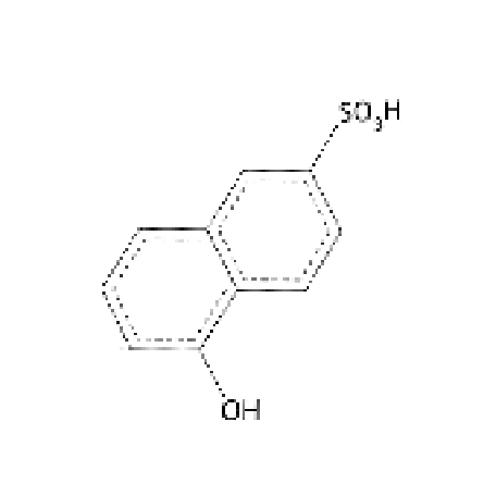 O=S(=O)(O)c1ccc2c(O)[c]ccc2c1